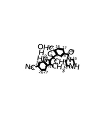 Cc1c(C(C)(C)c2cc(C(=O)N3CCNCC3)ccc2C=O)[nH]c2cc(C#N)ccc12